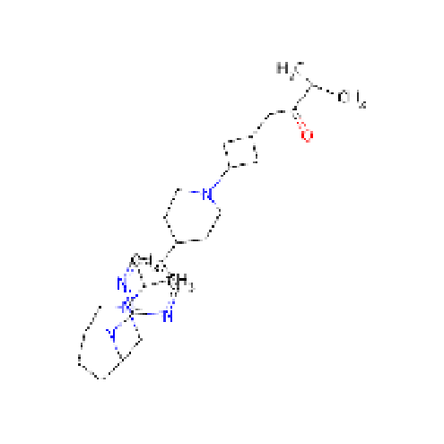 CC(C)C(=O)CC1CC(N2CCC(c3cnc(N4C5CCC4CN(C(C)C)C5)nc3)CC2)C1